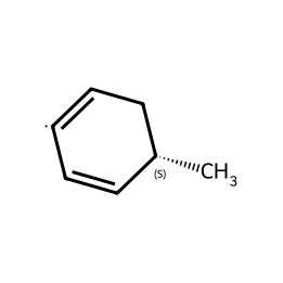 C[C@@H]1C=C[C]=CC1